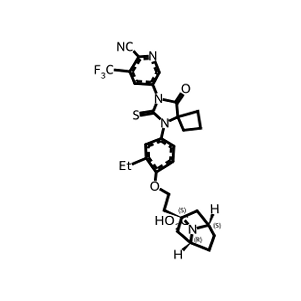 CCc1cc(N2C(=S)N(c3cnc(C#N)c(C(F)(F)F)c3)C(=O)C23CCC3)ccc1OCC[C@@H]1C[C@H]2CC[C@@H](C1)N2C(=O)O